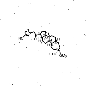 COC[C@]1(O)CC[C@H]2CC[C@@H]3[C@H](CC[C@]4(C)[C@@H](C(=O)Cn5cc(C#N)cn5)CC[C@@H]34)[C@H]2CC1